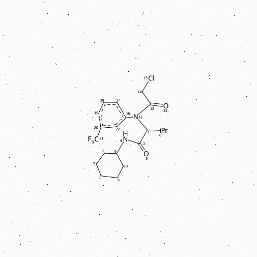 CC(C)C(C(=O)NC1CCCCC1)N(C(=O)CCl)c1cccc(C(F)(F)F)c1